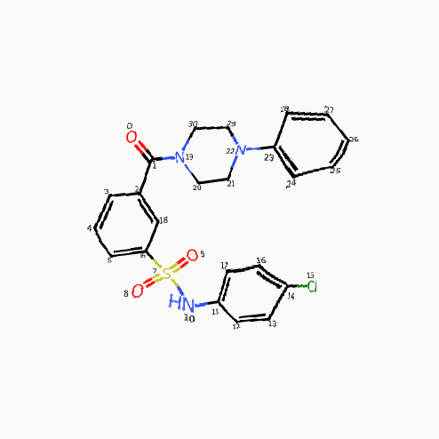 O=C(c1cccc(S(=O)(=O)Nc2ccc(Cl)cc2)c1)N1CCN(c2ccccc2)CC1